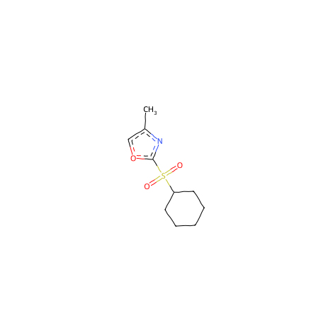 Cc1coc(S(=O)(=O)C2CCCCC2)n1